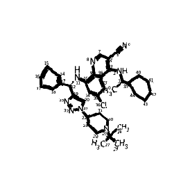 C[C@@H](Nc1c(C#N)cnc2c(N[C@@H](c3ccccc3)c3cn(C4CCN(C(C)(C)C)CC4)nn3)cc(Cl)cc12)C1CCCCC1